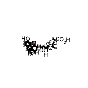 CC(OC(=O)C(C)OC(=O)C(O)CC(=O)OC1=CC[C@@]2(O)[C@H]3Cc4ccc(O)c5c4[C@@]2(CCN3C)[C@H]1O5)C(=O)O